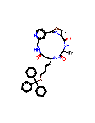 CC(C)[C@@H]1NC(=O)[C@]2(C)CSC(=N2)c2ccnc(c2)CNC(=O)C[C@@H](/C=C/CCSC(c2ccccc2)(c2ccccc2)c2ccccc2)NC1=O